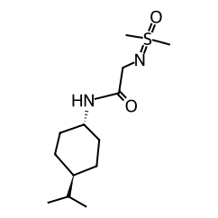 CC(C)[C@H]1CC[C@H](NC(=O)CN=S(C)(C)=O)CC1